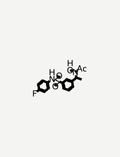 CC(=O)N(O)C(C)c1cccc(S(=O)(=O)Nc2ccc(F)cc2)c1